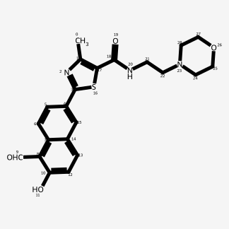 Cc1nc(-c2ccc3c(C=O)c(O)ccc3c2)sc1C(=O)NCCN1CCOCC1